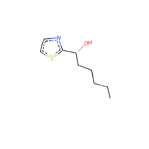 CCCCC[C@@H](O)c1nccs1